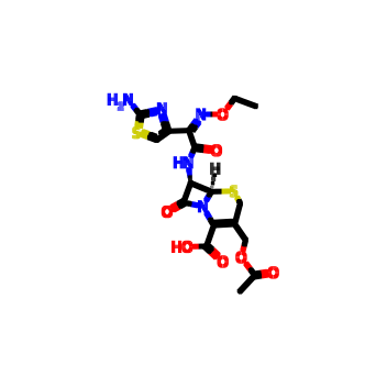 CCO/N=C(\C(=O)N[C@@H]1C(=O)N2C(C(=O)O)=C(COC(C)=O)CS[C@H]12)c1csc(N)n1